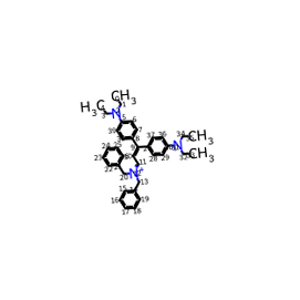 CCN(CC)c1ccc(C(=CC=[N+](Cc2ccccc2)Cc2ccccc2)c2ccc(N(CC)CC)cc2)cc1